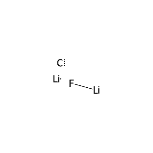 [C].[Li].[Li][F]